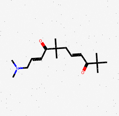 CN(C)C/C=C/C(=O)C(C)(C)C/C=C/C(=O)C(C)(C)C